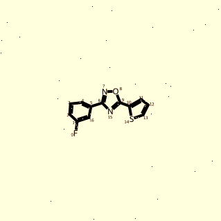 Fc1cccc(-c2noc(-c3cccs3)n2)c1